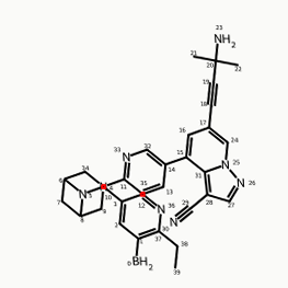 Bc1cc(CN2C3CC2CN(c2ccc(-c4cc(C#CC(C)(C)N)cn5ncc(C#N)c45)cn2)C3)cnc1CC